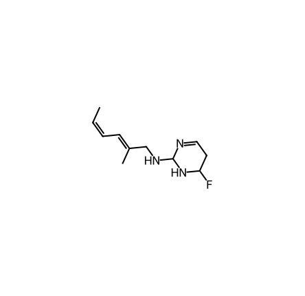 C/C=C\C=C(/C)CNC1N=CCC(F)N1